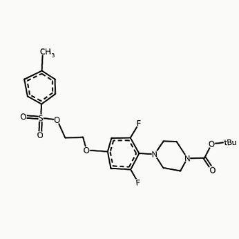 Cc1ccc(S(=O)(=O)OCCOc2cc(F)c(N3CCN(C(=O)OC(C)(C)C)CC3)c(F)c2)cc1